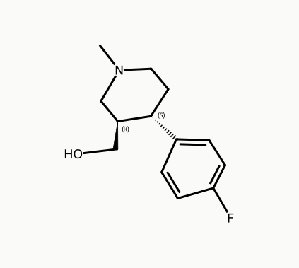 CN1CC[C@H](c2ccc(F)cc2)[C@@H](CO)C1